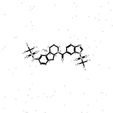 O=C(c1ccc2ncn(S(=O)(=O)C(F)(F)F)c2c1)N1CCC[C@@H]2c3cc(OS(=O)(=O)C(F)(F)F)ccc3CC21